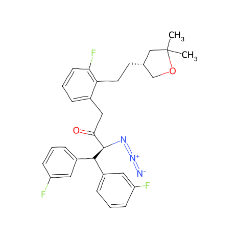 CC1(C)C[C@@H](CCc2c(F)cccc2CC(=O)[C@@H](N=[N+]=[N-])C(c2cccc(F)c2)c2cccc(F)c2)CO1